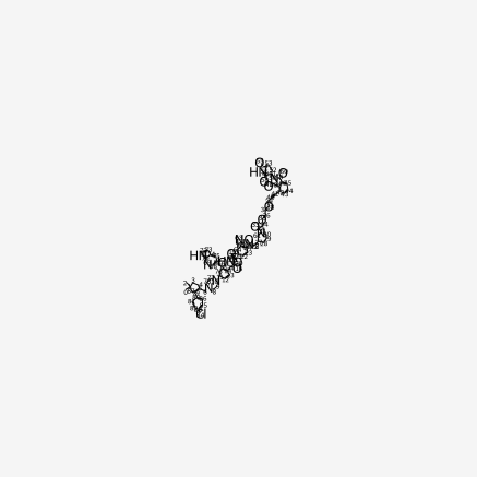 CC1(C)CCC(CN2CCN(c3ccc(C(=O)NS(=O)(=O)c4ccc(NCC5CCCN(C(=O)COCCOCC#Cc6cccc7c6C(=O)N(C6CCC(=O)NC6=O)C7=O)C5)c([N+](=O)[O-])c4)c(Oc4cnc5[nH]ccc5c4)c3)CC2)=C(c2ccc(Cl)cc2)C1